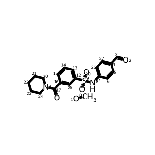 C[O].O=Cc1ccc(NS(=O)(=O)c2cccc(C(=O)N3CCCCC3)c2)cc1